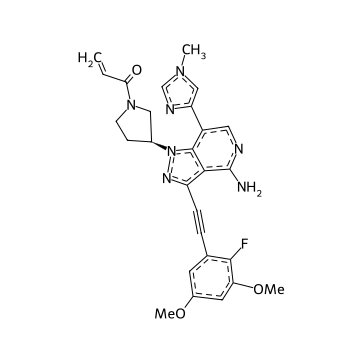 C=CC(=O)N1CC[C@H](n2nc(C#Cc3cc(OC)cc(OC)c3F)c3c(N)ncc(-c4cn(C)cn4)c32)C1